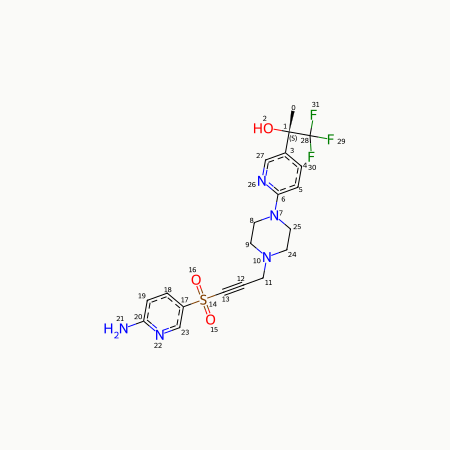 C[C@](O)(c1ccc(N2CCN(CC#CS(=O)(=O)c3ccc(N)nc3)CC2)nc1)C(F)(F)F